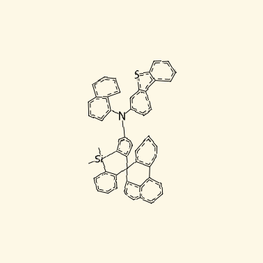 C[Si]1(C)c2ccccc2C2(c3ccccc3-c3cccc4cccc2c34)c2ccc(N(c3ccc4c(c3)sc3ccccc34)c3cccc4ccccc34)cc21